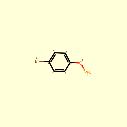 POc1ccc(Br)cc1